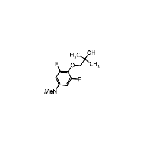 CNc1cc(F)c(OCC(C)(C)O)c(F)c1